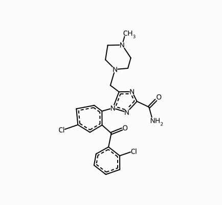 CN1CCN(Cc2nc(C(N)=O)nn2-c2ccc(Cl)cc2C(=O)c2ccccc2Cl)CC1